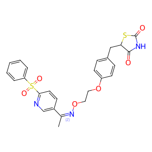 C/C(=N/OCCOc1ccc(CC2SC(=O)NC2=O)cc1)c1ccc(S(=O)(=O)c2ccccc2)nc1